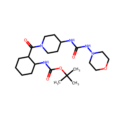 CC(C)(C)OC(=O)NC1CCCCC1C(=O)N1CCC(NC(=O)NN2CCOCC2)CC1